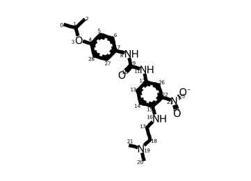 CC(C)Oc1ccc(NC(=O)Nc2ccc(NCCN(C)C)c([N+](=O)[O-])c2)cc1